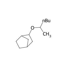 CCCCC(C)OC1CC2CCC1C2